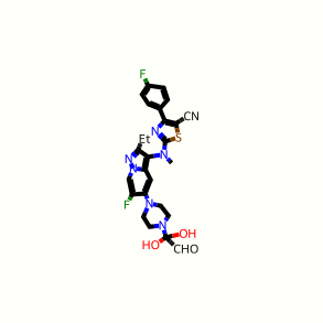 CCc1nn2cc(F)c(N3CCN(C(O)(O)C=O)CC3)cc2c1N(C)c1nc(-c2ccc(F)cc2)c(C#N)s1